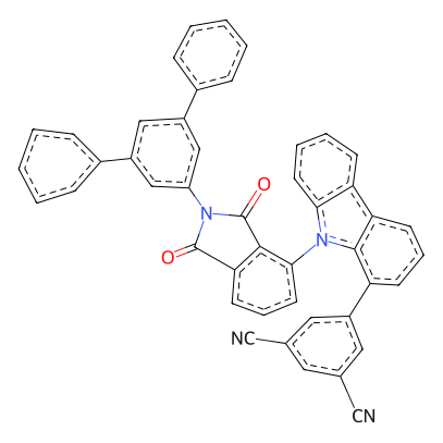 N#Cc1cc(C#N)cc(-c2cccc3c4ccccc4n(-c4cccc5c4C(=O)N(c4cc(-c6ccccc6)cc(-c6ccccc6)c4)C5=O)c23)c1